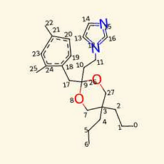 CCCC1(CCC)COC(CCn2ccnc2)(Cc2ccc(C)cc2C)OC1